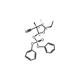 CC[C@H]1O[C@@H](OP(=O)(Oc2ccccc2)Oc2ccccc2)[C@](C)(C#N)[C@@H]1C